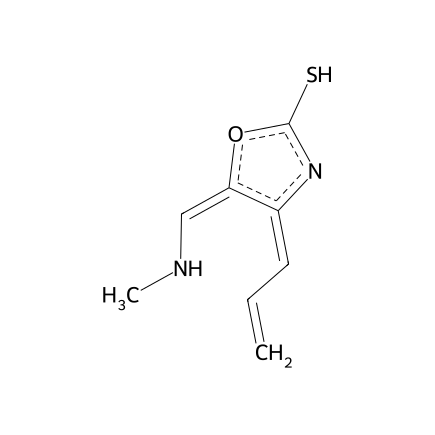 C=C/C=c1/nc(S)o/c1=C/NC